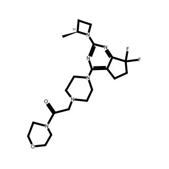 C[C@H]1CCN1c1nc(N2CCN(CC(=O)N3CCOCC3)CC2)c2c(n1)C(F)(F)CC2